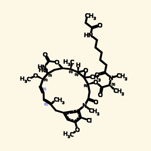 CCC(=O)NCCCCCC(=O)N(C)[C@@H](C)C(=O)O[C@H]1CC(=O)N(C)c2cc(cc(OC)c2Cl)C/C(C)=C/C=C/[C@@H](OC)[C@@]2(O)CC(OC(=O)N2)[C@@H](C)[C@@H]2OC12C